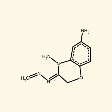 C=N/N=C1/COc2ccc(N)cc2N1N